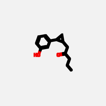 CCCC(=O)CC1CC1c1cccc(O)c1